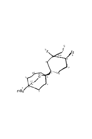 CCCCC12CCC([C@H]3CC[C@H](CC)C(F)(F)C3)(CC1)CC2